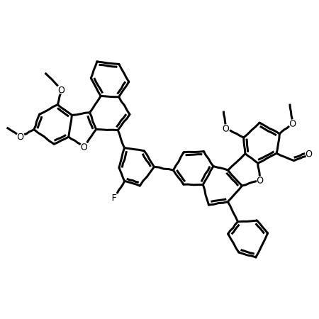 COc1cc(OC)c2c(c1)oc1c(-c3cc(F)cc(-c4ccc5c(c4)cc(-c4ccccc4)c4oc6c(C=O)c(OC)cc(OC)c6c45)c3)cc3ccccc3c12